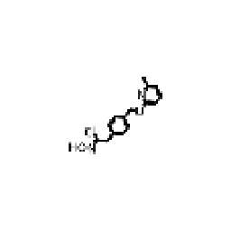 Cc1cccc(OCc2ccc(CC(Cl)=NO)cc2)n1